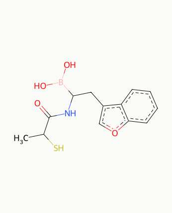 CC(S)C(=O)NC(Cc1coc2ccccc12)B(O)O